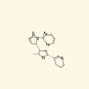 Cc1nc(-c2cccnc2)sc1-c1ccnn1-c1ncccn1